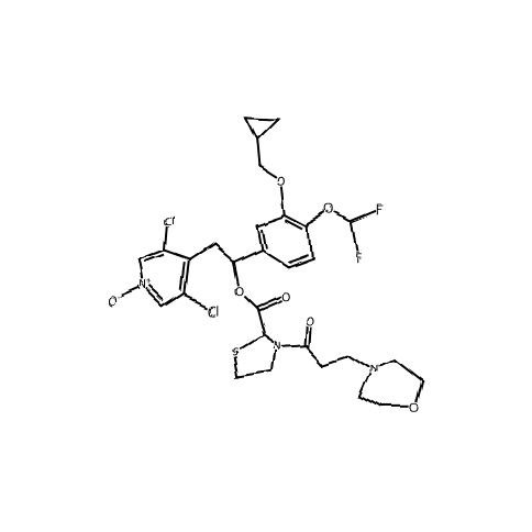 O=C(OC(Cc1c(Cl)c[n+]([O-])cc1Cl)c1ccc(OC(F)F)c(OCC2CC2)c1)C1SCCN1C(=O)CCN1CCOCC1